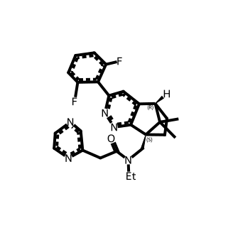 CCN(C[C@@]12CC[C@@H](c3cc(-c4c(F)cccc4F)nnc31)C2(C)C)C(=O)Cc1cnccn1